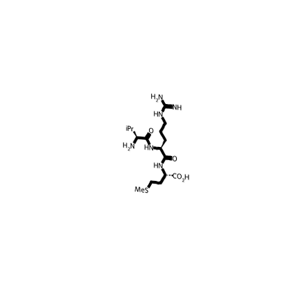 CSCC[C@H](NC(=O)[C@H](CCCNC(=N)N)NC(=O)[C@@H](N)C(C)C)C(=O)O